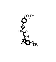 CCOC(=O)[C@H]1CC[C@@H](N2CC(NC(=O)CNc3nn(C)c4ccc(OC(F)(F)F)cc34)C2)CC1